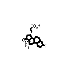 C[C@]12CCC3c4ccc(F)cc4CCC3C1[C@H](CCC(=O)O)CC2=O